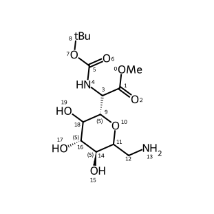 COC(=O)C(NC(=O)OC(C)(C)C)[C@@H]1OC(CN)[C@@H](O)[C@H](O)C1O